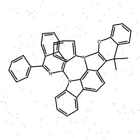 CC1(C)c2ccccc2Oc2c1c1ccc3c4ccccc4n(-c4nc(-c5ccccc5)c5ccccc5n4)c3c1n2-c1ccccc1